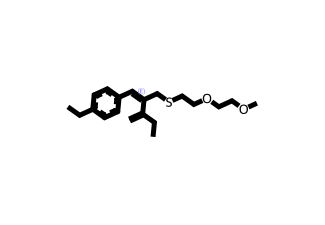 C=C(CC)/C(=C\c1ccc(CC)cc1)CSCCOCCOC